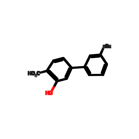 CCCCc1cccc(-c2ccc(C(=O)O)c(O)c2)c1